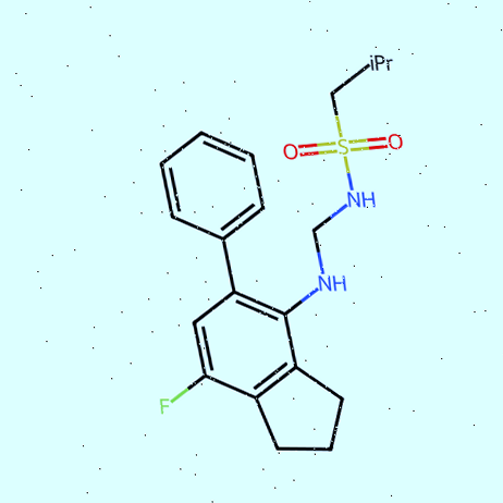 CC(C)CS(=O)(=O)NCNc1c(-c2ccccc2)cc(F)c2c1CCC2